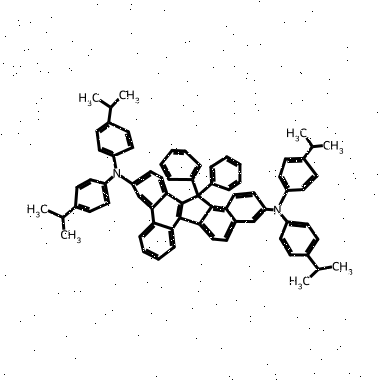 CC(C)c1ccc(N(c2ccc(C(C)C)cc2)c2ccc3c4c(ccc3c2)-c2c(c3ccc(N(c5ccc(C(C)C)cc5)c5ccc(C(C)C)cc5)cc3c3ccccc23)C4(c2ccccc2)c2ccccc2)cc1